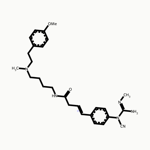 CN=C(N)N(C#N)c1ccc(/C=C/CC(=O)NCCCCN(C)CCc2ccc(OC)cc2)cc1